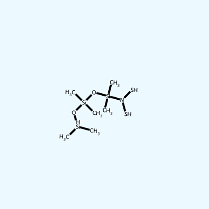 C[SiH](C)O[Si](C)(C)O[Si](C)(C)N(S)S